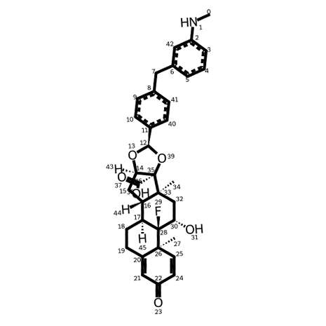 CNc1cccc(Cc2ccc([C@@H]3O[C@@H]4C[C@H]5[C@@H]6CCC7=CC(=O)C=C[C@]7(C)[C@@]6(F)[C@@H](O)C[C@]5(C)[C@]4(C(=O)O)O3)cc2)c1